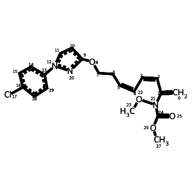 C=C(/C=C\C=C/CCOc1ccn(-c2ccc(Cl)cc2)n1)N(OC)C(=O)OC